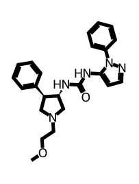 COCCN1C[C@@H](NC(=O)Nc2ccnn2-c2ccccc2)[C@H](c2ccccc2)C1